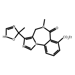 CCOC(=O)c1cccc2c1C(=O)N(C)Cc1c(C3(C)N=CNO3)ncn1-2